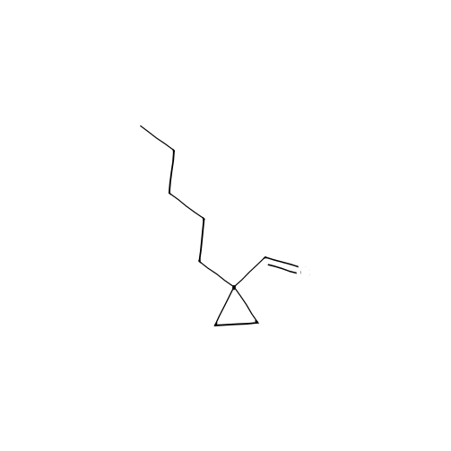 CCCCCC1(C=O)CC1